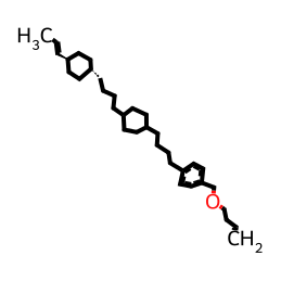 C=CCCOCc1ccc(CCCCC2CCC(CCCC[C@H]3CC[C@H](/C=C/C)CC3)CC2)cc1